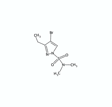 CCc1nn(S(=O)(=O)N(C)C)cc1Br